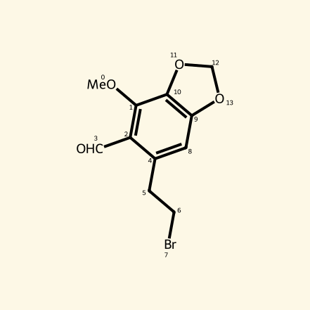 COc1c(C=O)c(CCBr)cc2c1OCO2